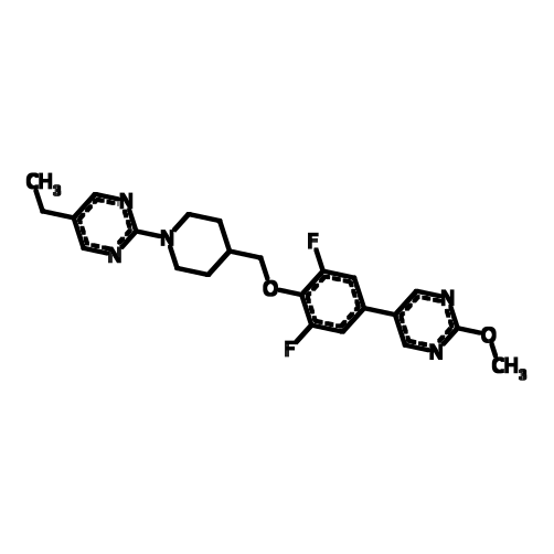 CCc1cnc(N2CCC(COc3c(F)cc(-c4cnc(OC)nc4)cc3F)CC2)nc1